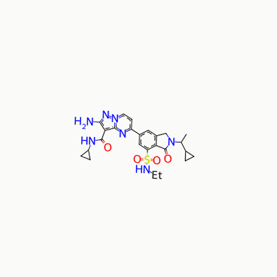 CCNS(=O)(=O)c1cc(-c2ccn3nc(N)c(C(=O)NC4CC4)c3n2)cc2c1C(=O)N(C(C)C1CC1)C2